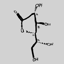 O=C1O[C@@H]([C@H](O)CO)[C@H](O)[C@H]1O